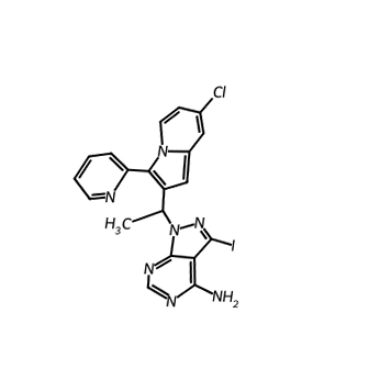 CC(c1cc2cc(Cl)ccn2c1-c1ccccn1)n1nc(I)c2c(N)ncnc21